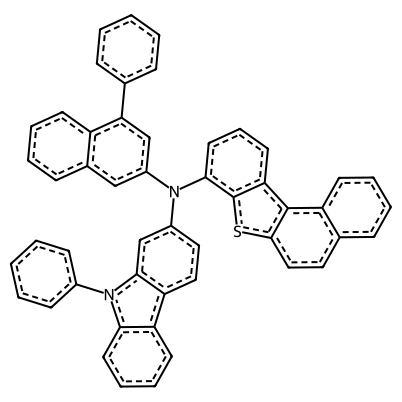 c1ccc(-c2cc(N(c3ccc4c5ccccc5n(-c5ccccc5)c4c3)c3cccc4c3sc3ccc5ccccc5c34)cc3ccccc23)cc1